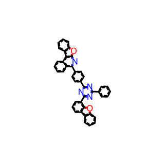 c1ccc(-c2nc(-c3ccc(-c4nc5oc6ccccc6c5c5ccccc45)cc3)nc(-c3cccc4c3oc3ccccc34)n2)cc1